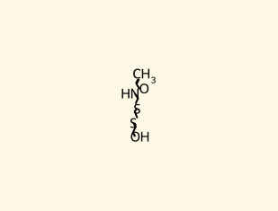 CC=CC(=O)NCCSCCSCCO